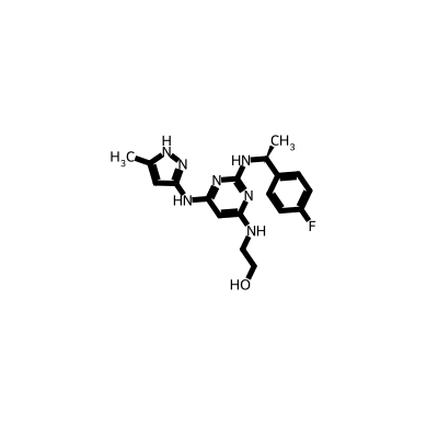 Cc1cc(Nc2cc(NCCO)nc(N[C@@H](C)c3ccc(F)cc3)n2)n[nH]1